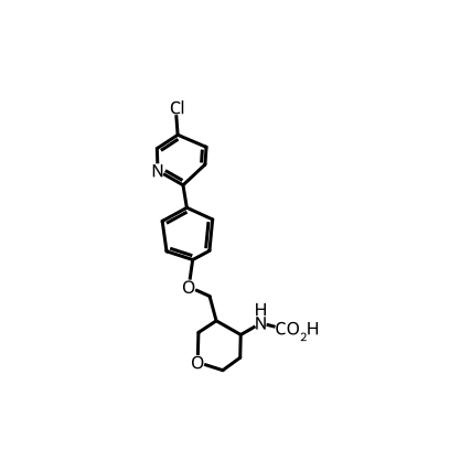 O=C(O)NC1CCOCC1COc1ccc(-c2ccc(Cl)cn2)cc1